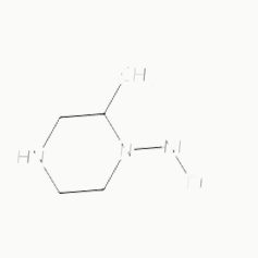 CCNN1CCNCC1C